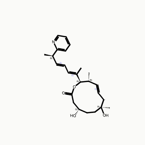 C/C(=C\C=C\[C@@H](C)c1ccccn1)[C@@H]1OC(=O)C[C@@H](O)CC[C@](C)(O)[CH]/C=C/[C@H]1C